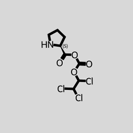 O=C(OC(=O)[C@@H]1CCCN1)OC(Cl)C(Cl)Cl